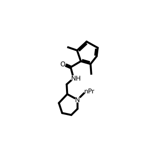 CCCN1CCCCC1CNC(=O)c1c(C)cccc1C